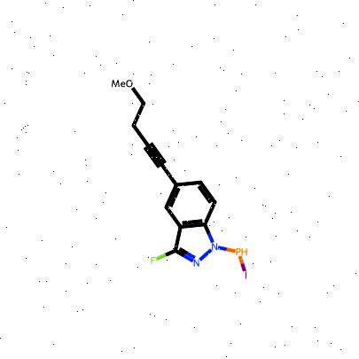 COCCC#Cc1ccc2c(c1)c(F)nn2PI